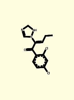 CCC=C(C(=O)c1ccc(Cl)cc1Cl)N1C=NCN1